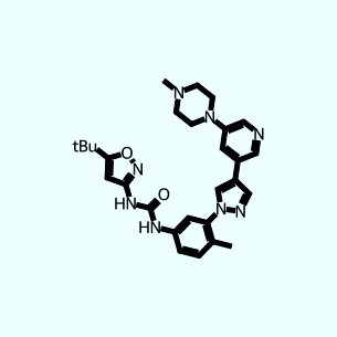 Cc1ccc(NC(=O)Nc2cc(C(C)(C)C)on2)cc1-n1cc(-c2cncc(N3CCN(C)CC3)c2)cn1